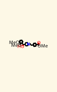 COC(=O)c1ccc(CCN2CCC(C(O)c3cccc(OC)c3OC)CC2)cc1